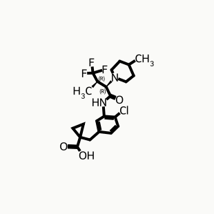 CC1CCN([C@@H](C(=O)Nc2cc(CC3(C(=O)O)CC3)ccc2Cl)[C@@H](C)C(F)(F)F)CC1